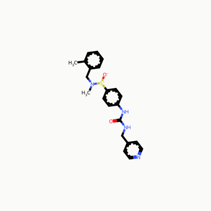 Cc1ccccc1CN(C)[S+]([O-])c1ccc(NC(=O)NCc2ccncc2)cc1